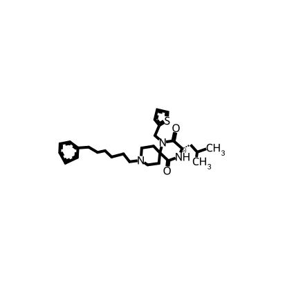 CC(C)C[C@@H]1NC(=O)C2(CCN(CCCCCCc3ccccc3)CC2)N(Cc2cccs2)C1=O